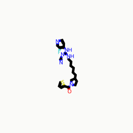 N#CN=C(NCCCCCCC1CCN(C(=O)c2cccs2)C1)Nc1ccncc1F